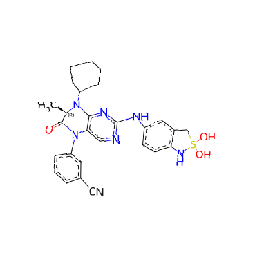 C[C@@H]1C(=O)N(c2cccc(C#N)c2)c2cnc(Nc3ccc4c(c3)CS(O)(O)N4)nc2N1C1CCCCC1